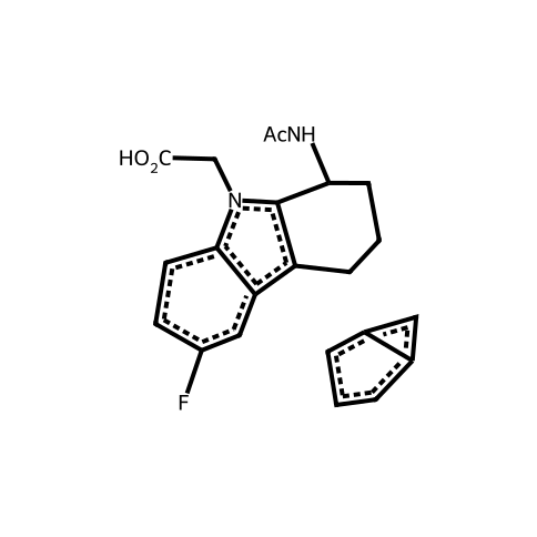 CC(=O)NC1CCCc2c1n(CC(=O)O)c1ccc(F)cc21.c1cc2cc-2c1